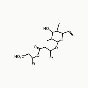 C=CC1OC(OC(CC)CC(=O)OC(CC)CC(=O)O)C(C)C(O)C1C